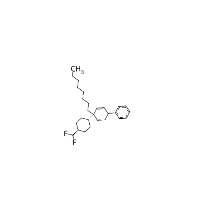 CCCCCCCCC1([C@H]2CC[C@H](C(F)F)CC2)C=CC(c2ccccc2)C=C1